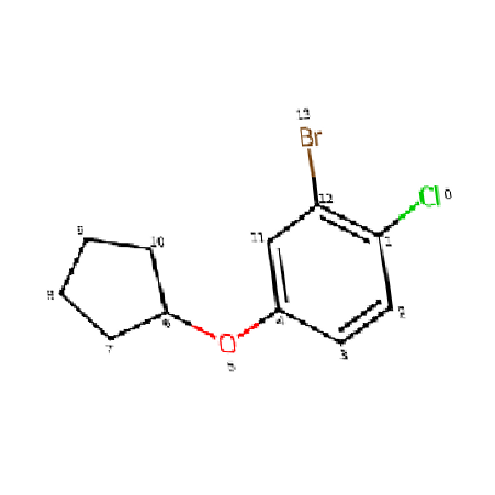 Clc1ccc(OC2CCCC2)cc1Br